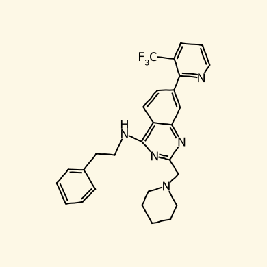 FC(F)(F)c1cccnc1-c1ccc2c(NCCc3ccccc3)nc(CN3CCCCC3)nc2c1